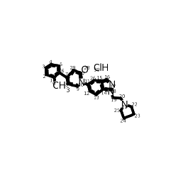 Cc1ccccc1-c1ccn(-c2ccc3c(cnn3CCN3CCCC3)c2)c(=O)c1.Cl